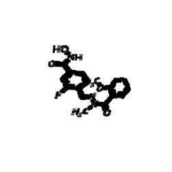 COc1ccccc1C(=O)N(C)N=Cc1ccc(C(=O)NO)cc1F